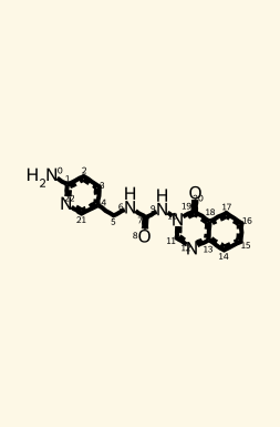 Nc1ccc(CNC(=O)Nn2cnc3ccccc3c2=O)cn1